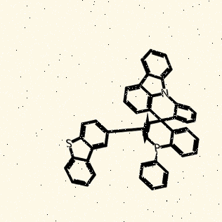 c1ccc([P@]2c3ccccc3C3(c4ccccc4-n4c5ccccc5c5cccc3c54)c3ccc(-c4ccc5sc6ccccc6c5c4)cc32)cc1